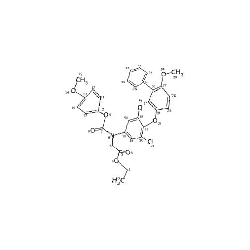 CCOC(=O)CN(C(=O)Oc1ccc(OC)cc1)c1cc(Cl)c(Oc2ccc(OC)c(-c3ccccc3)c2)c(Cl)c1